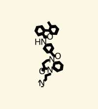 Cc1ccccc1-c1ccccc1C(=O)Nc1ccc(C(=O)N2CCC(=O)N(CCCN(C)C)c3ccccc32)cc1